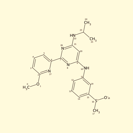 COc1cccc(-c2nc(Nc3cccc([S+](C)[O-])c3)cc(NC(C)C)n2)n1